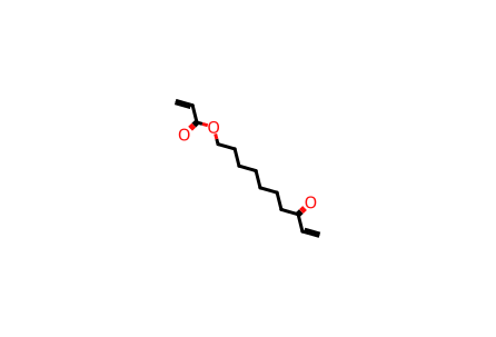 C=CC(=O)CCCCCCCOC(=O)C=C